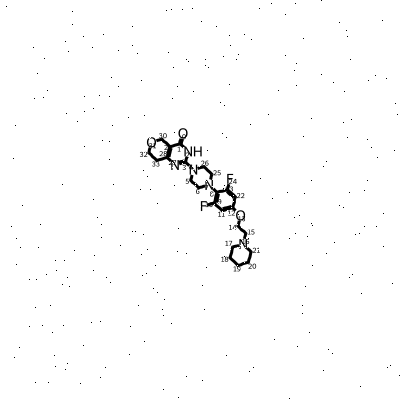 O=c1[nH]c(N2CCN(c3c(F)cc(OCCN4CCCCC4)cc3F)CC2)nc2c1COCC2